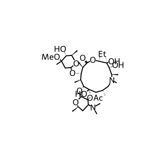 CC[C@H]1OC(=O)[C@H](C)[C@@H](OC2C[C@@](C)(OC)[C@H](O)[C@@H](C)O2)[C@H](C)[C@@H](O[C@@H]2O[C@H](C)CC(N(C)C)[C@H]2OC(C)=O)[C@](C)(O)C[C@@H](C)CN(C)[C@H](C)[C@@H](O)[C@]1(C)O